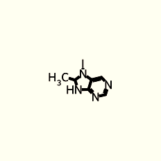 CC1Nc2ncncc2N1I